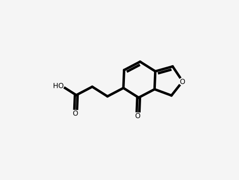 O=C(O)CCC1C=CC2=COCC2C1=O